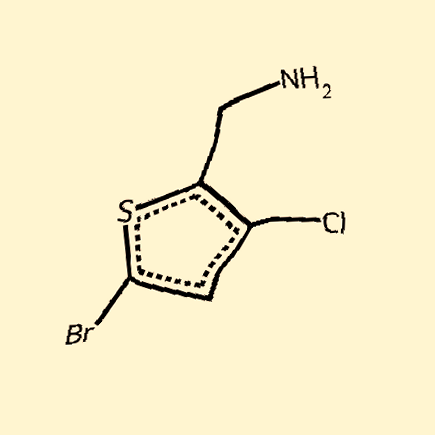 NCc1sc(Br)cc1Cl